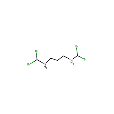 BrC(Br)[SiH2]CCC[SiH2]C(Br)Br